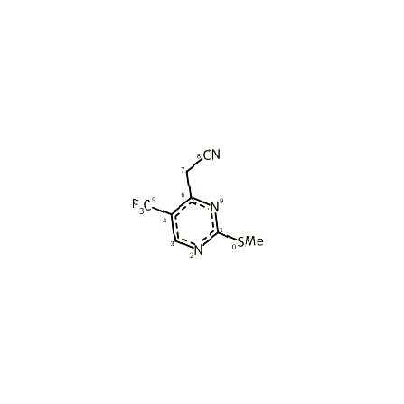 CSc1ncc(C(F)(F)F)c(CC#N)n1